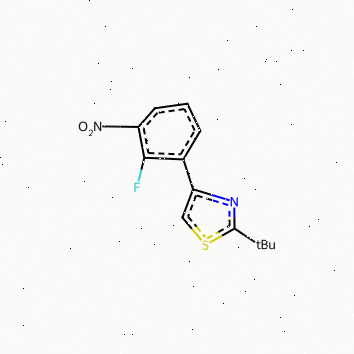 CC(C)(C)c1nc(-c2cccc([N+](=O)[O-])c2F)cs1